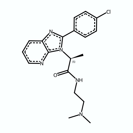 C[C@@H](C(=O)NCCN(C)C)n1c(-c2ccc(Cl)cc2)nc2cccnc21